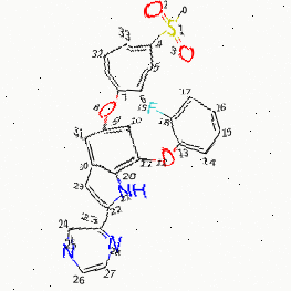 CS(=O)(=O)c1ccc(Oc2cc(Oc3ccccc3F)c3[nH]c(-c4cnccn4)cc3c2)cc1